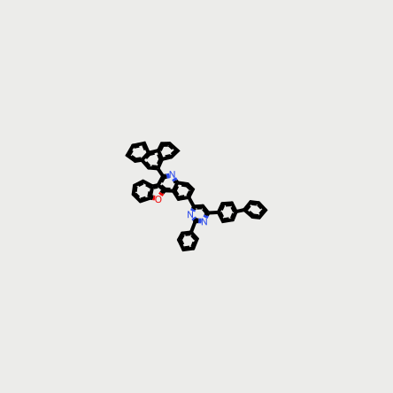 c1ccc(-c2ccc(-c3cc(-c4ccc5nc(-c6cc7ccccc7c7ccccc67)c6c7ccccc7oc6c5c4)nc(-c4ccccc4)n3)cc2)cc1